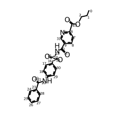 CCCOC(=O)c1ccc(C(=O)NS(=O)(=O)c2ccc(NC(=O)c3ccccc3)cc2)cn1